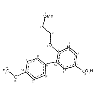 COCCOc1ncc(C(=O)O)nc1-c1ccc(OC(F)(F)F)cc1